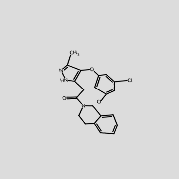 Cc1n[nH]c(CC(=O)N2CCc3ccccc3C2)c1Oc1cc(Cl)cc(Cl)c1